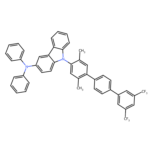 Cc1cc(-n2c3ccccc3c3cc(N(c4ccccc4)c4ccccc4)ccc32)c(C)cc1-c1ccc(-c2cc(C(F)(F)F)cc(C(F)(F)F)c2)cc1